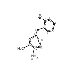 Cc1cc(Oc2ccccc2C#N)ccc1N